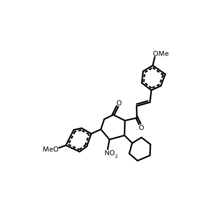 COc1ccc(/C=C/C(=O)C2C(=O)CC(c3ccc(OC)cc3)C([N+](=O)[O-])C2C2CCCCC2)cc1